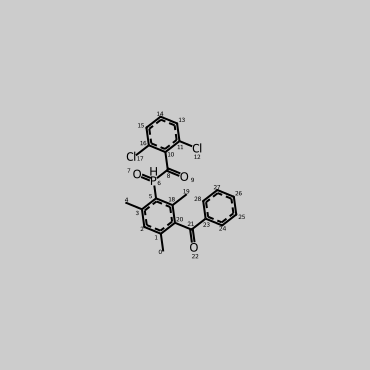 Cc1cc(C)c([PH](=O)C(=O)c2c(Cl)cccc2Cl)c(C)c1C(=O)c1ccccc1